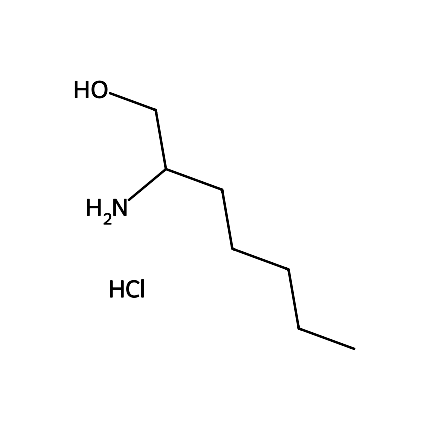 CCCCCC(N)CO.Cl